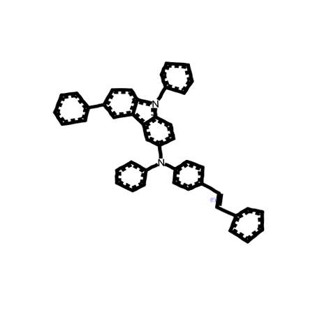 C(=C\c1ccc(N(c2ccccc2)c2ccc3c(c2)c2cc(-c4ccccc4)ccc2n3-c2ccccc2)cc1)/c1ccccc1